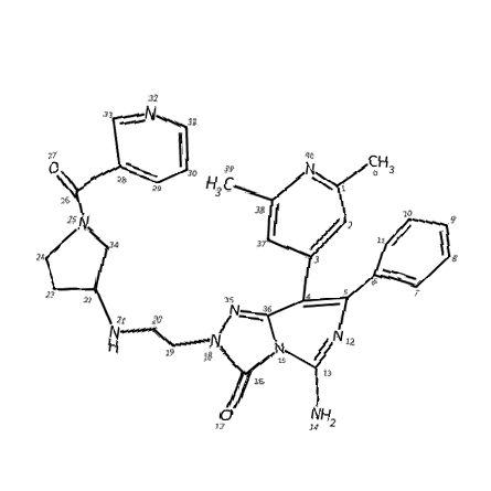 Cc1cc(-c2c(-c3ccccc3)nc(N)n3c(=O)n(CCNC4CCN(C(=O)c5cccnc5)C4)nc23)cc(C)n1